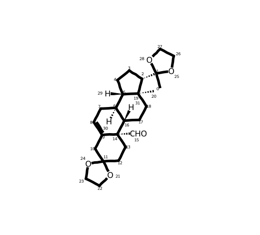 CC1([C@H]2CC[C@H]3[C@@H]4CC=C5CC6(CC[C@]5(C=O)[C@H]4CC[C@]23C)OCCO6)OCCO1